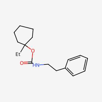 CCC1(OC(=O)NCCc2ccccc2)CCCCC1